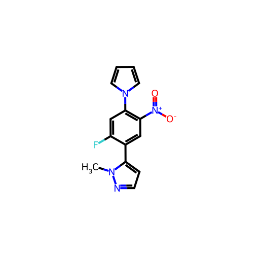 Cn1nccc1-c1cc([N+](=O)[O-])c(-n2cccc2)cc1F